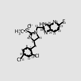 C[S+]([O-])C1=NC(Cc2ccc(Cl)cc2Cl)CN1Cc1nc2ccc(F)nc2[nH]1